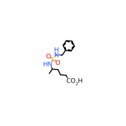 CC(CCCC(=O)O)NS(=O)(=O)NCc1ccccc1